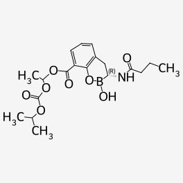 CCCC(=O)N[C@H]1Cc2cccc(C(=O)OC(C)OC(=O)OC(C)C)c2OB1O